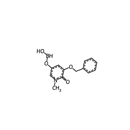 Cn1cc(OBO)cc(OCc2ccccc2)c1=O